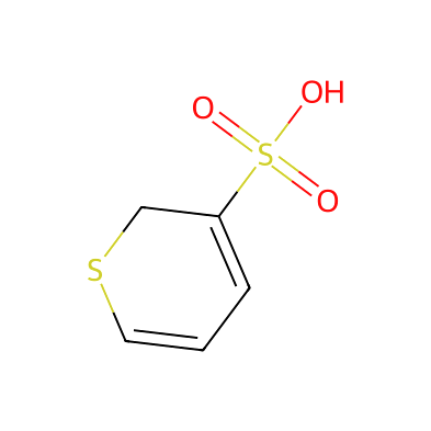 O=S(=O)(O)C1=CC=CSC1